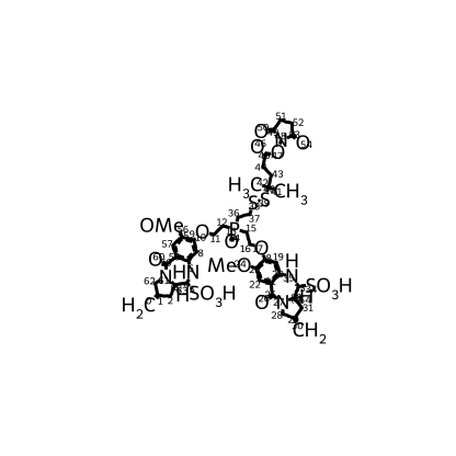 C=C1C[C@H]2C(S(=O)(=O)O)Nc3cc(OCCP(=O)(CCOc4cc5c(cc4OC)C(=O)N4CC(=C)C[C@H]4C(S(=O)(=O)O)N5)CCSSC(C)(C)CCC(=O)ON4C(=O)CCC4=O)c(OC)cc3C(=O)N2C1